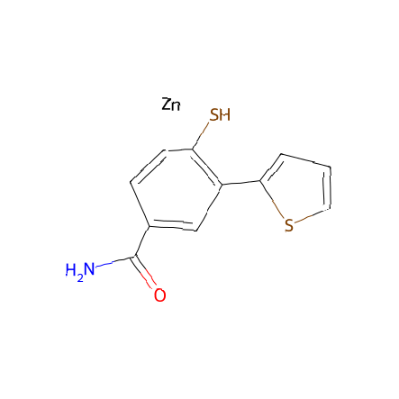 NC(=O)c1ccc(S)c(-c2cccs2)c1.[Zn]